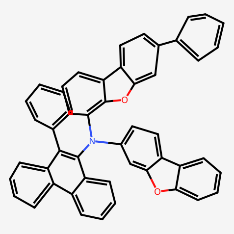 c1ccc(-c2ccc3c(c2)oc2c(N(c4ccc5c(c4)oc4ccccc45)c4c(-c5ccccc5)c5ccccc5c5ccccc45)cccc23)cc1